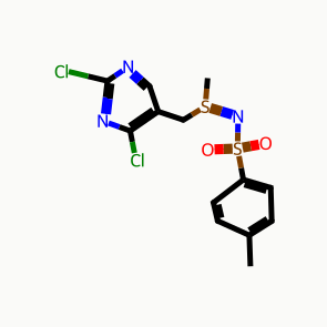 Cc1ccc(S(=O)(=O)N=S(C)Cc2cnc(Cl)nc2Cl)cc1